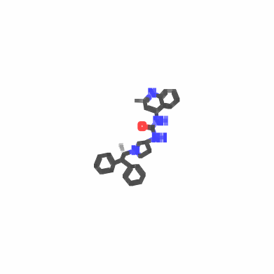 Cc1cc(NC(=O)NC2CCN([C@@H](C)C(c3ccccc3)c3ccccc3)C2)c2ccccc2n1